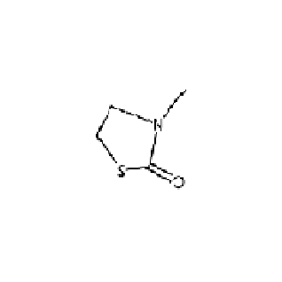 CN1CCSC1=O